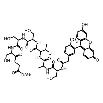 CNC(=O)CNC(=O)C(CO)NC(=O)C(CO)NC(=O)C(CO)NC(=O)C(NC(=O)C(C)NC(=O)C(CO)NC(=O)Cc1ccc(C(=O)O)c(-c2c3ccc(=O)cc-3oc3cc(O)ccc23)c1)C(C)O